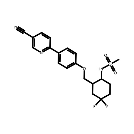 CS(=O)(=O)NC1CCC(F)(F)CC1COc1ccc(-c2ccc(C#N)cn2)cc1